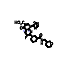 C=C(/N=C1\C(=C/CF)C(=O)C(C(=O)O)=CN1c1ncns1)N1CCCC(C(=O)NCC2CCCOC2)C1